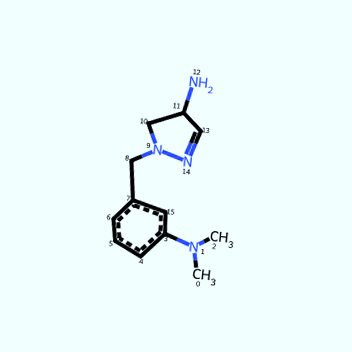 CN(C)c1cccc(CN2CC(N)C=N2)c1